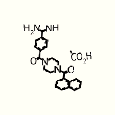 CC(=O)O.N=C(N)c1ccc(C(=O)N2CCN(C(=O)c3cccc4ccccc34)CC2)cc1